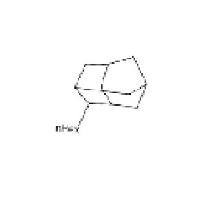 [CH2]CCCCCC1C2CC3CC(C2)CC1C3